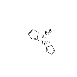 C1=CC[C]([Ta+3][C]2=CC=CC2)=C1.[Br-].[Br-].[Br-]